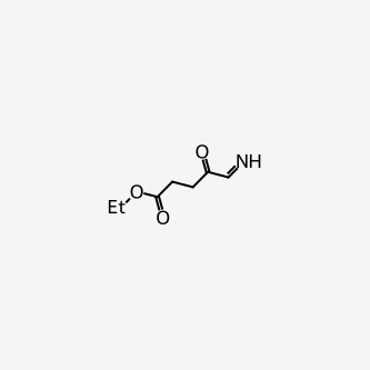 CCOC(=O)CCC(=O)C=N